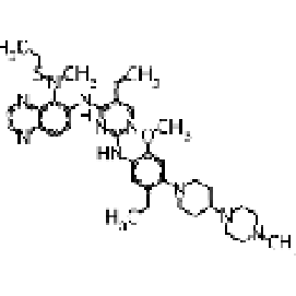 C=Cc1cnc(Nc2cc(CC)c(N3CCC(N4CCN(C)CC4)CC3)cc2OC)nc1Nc1ccc2nccnc2c1N(C)SCC